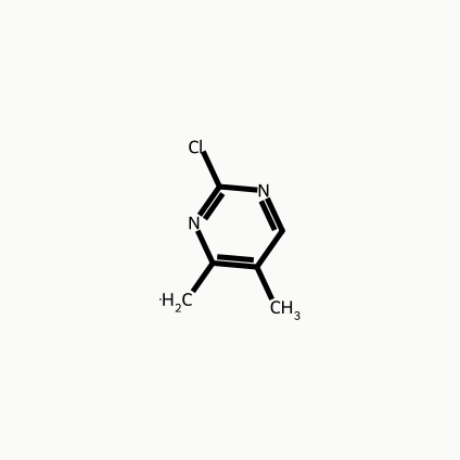 [CH2]c1nc(Cl)ncc1C